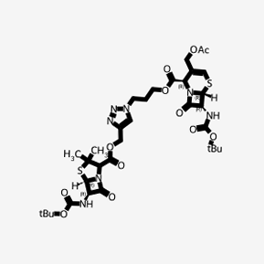 CC(=O)OCC1=CS[C@@H]2[C@H](NC(=O)OC(C)(C)C)C(=O)N2[C@H]1C(=O)OCCCn1cc(COC(=O)C2N3C(=O)[C@@H](NC(=O)OC(C)(C)C)[C@H]3SC2(C)C)nn1